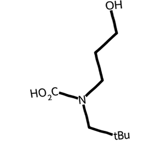 CC(C)(C)CN(CCCO)C(=O)O